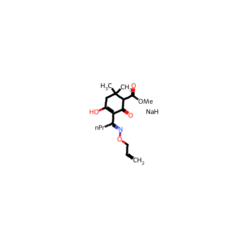 C=CCON=C(CCC)C1=C(O)CC(C)(C)C(C(=O)OC)C1=O.[NaH]